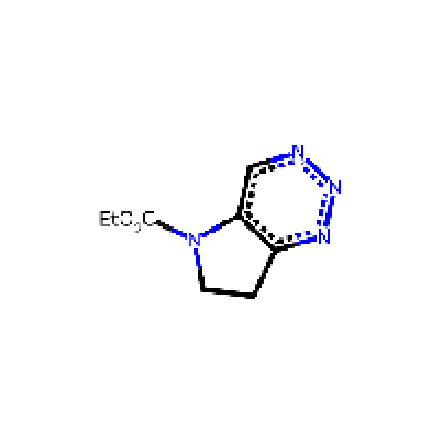 CCOC(=O)N1CCc2nnncc21